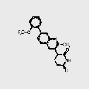 Cc1nc2cc(-c3ccccc3OC(F)(F)F)ccc2cc1C1CCC(=O)NC1=O